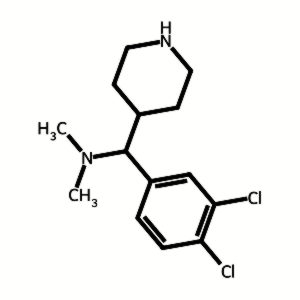 CN(C)C(c1ccc(Cl)c(Cl)c1)C1CCNCC1